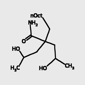 CCCCCCCCCC(CC(C)O)(CC(C)O)C(N)=O